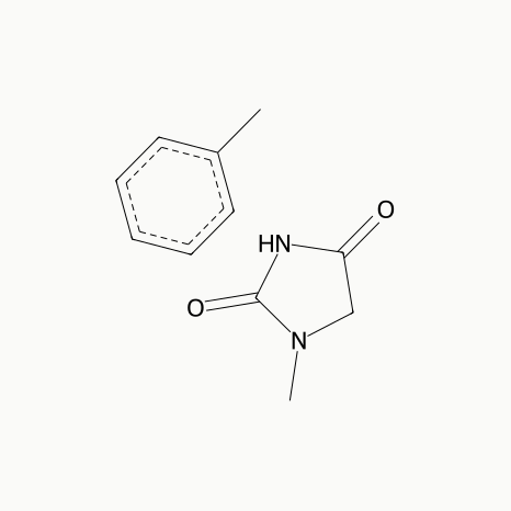 CN1CC(=O)NC1=O.Cc1ccccc1